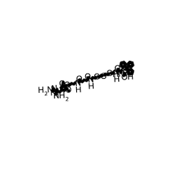 COc1cc(Cc2cnc(N)nc2N)cc(OC)c1OCCCCNC(=O)CCCC(=O)NCCOCCOCCOCCNC(=O)C(CSC(c1ccccc1)(c1ccccc1)c1ccccc1)NC(=O)O